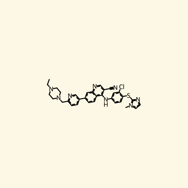 CCN1CCN(Cc2ccc(-c3ccc4c(Nc5ccc(Sc6nccn6C)c(Cl)c5)c(C#N)cnc4c3)cn2)CC1